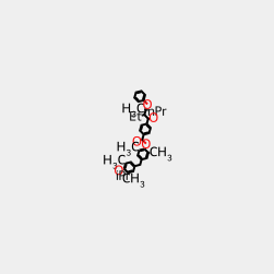 CCCC(C)(Oc1ccccc1)C(CC)C(=O)c1ccc(C(=O)Oc2c(C)cc(Cc3cc(C)c(OC(C)C)c(C)c3)cc2C)cc1